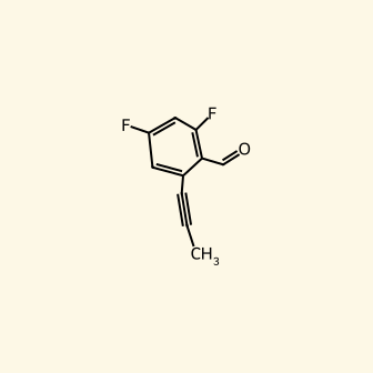 CC#Cc1cc(F)cc(F)c1C=O